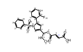 CNC(OC(=O)/C=C/C(=O)O)c1cc(-c2cccnc2F)n(S(=O)(=O)c2ccccc2)c1